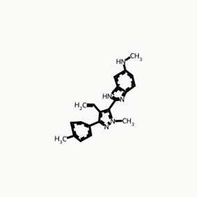 C=Cc1c(-c2ccc(C)cc2)nn(C)c1-c1nc2ccc(NC)cc2[nH]1